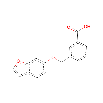 O=C(O)c1cccc(COc2ccc3ccoc3c2)c1